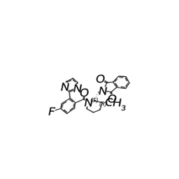 C[C@@H]1CCCN(C(=O)c2ccc(F)cc2-c2ncccn2)[C@@H]1CN1C(=O)c2ccccc2C1=O